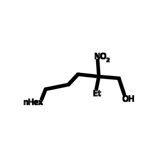 CCCCCCCCCC(CC)(CO)[N+](=O)[O-]